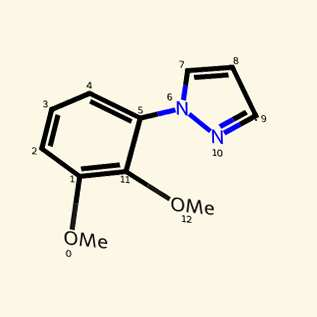 COc1cccc(-n2cc[c]n2)c1OC